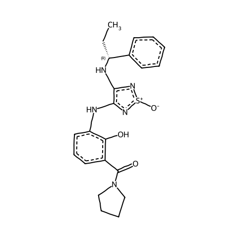 CC[C@@H](Nc1n[s+]([O-])nc1Nc1cccc(C(=O)N2CCCC2)c1O)c1ccccc1